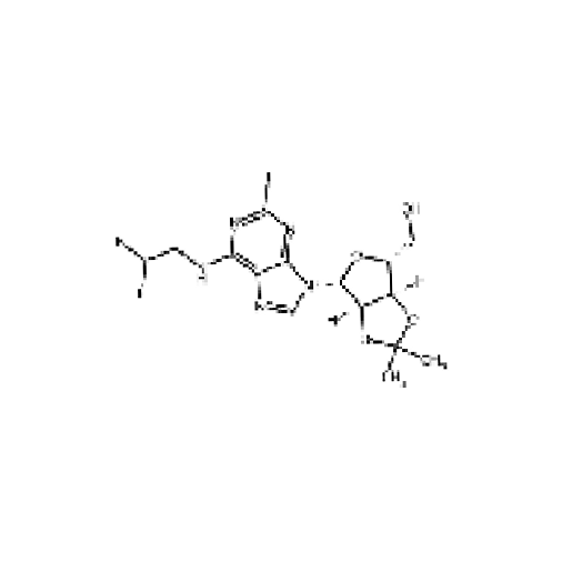 CC1(C)O[C@@H]2[C@H](O1)[C@@H](CO)O[C@H]2n1cnc2c(NCC(F)F)nc(I)nc21